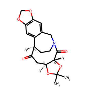 CC1(C)O[C@H]2CC(=O)[C@@H]3CCN(Cc4cc5c(cc43)OCO5)C(=O)[C@@H]2O1